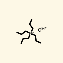 CCC[N+](CCC)(CCC)CCC.[H+].[O-2]